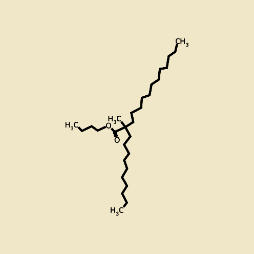 CCCCCCCCCCCCC(C)(CCCCCCCCCC)C(=O)OCCCC